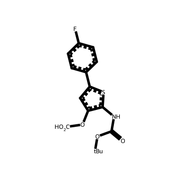 CC(C)(C)OC(=O)Nc1sc(-c2ccc(F)cc2)cc1OC(=O)O